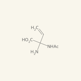 C=CC(N)(NC(C)=O)C(=O)O